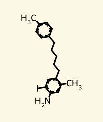 Cc1ccc(CCCCCc2cc(I)c(N)cc2C)cc1